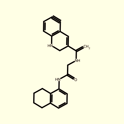 C=C(NCC(=O)Nc1cccc2c1CCCC2)C1=Cc2c#cccc2NC1